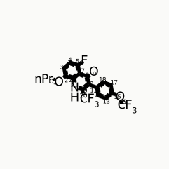 CCCOc1ccc(F)c2c(=O)c(-c3ccc(OC(F)(F)F)cc3)c(C(F)(F)F)[nH]c12